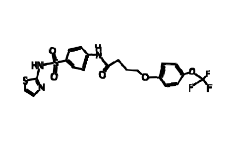 O=C(CCCOc1ccc(OC(F)(F)F)cc1)Nc1ccc(S(=O)(=O)Nc2nccs2)cc1